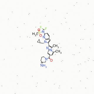 Cc1cc(C(=O)N2CCC[C@@H](N)C2)cc2nc(-c3cc4ccc(N(C(F)F)S(C)(=O)=O)nc4n3CC3CC3)c(C)n12